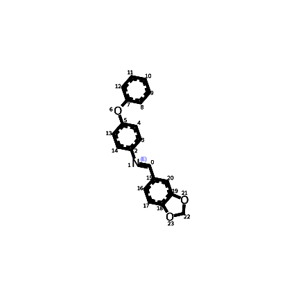 C(=N\c1ccc(Oc2ccccc2)cc1)/c1ccc2c(c1)OCO2